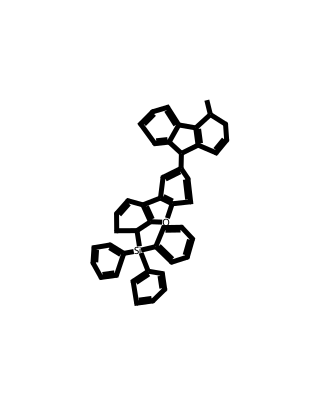 CC1CC=CC2=C1c1ccccc1C2c1ccc2oc3c(c2c1)C=CCC3[Si](c1ccccc1)(c1ccccc1)c1ccccc1